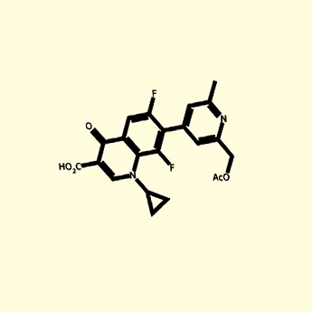 CC(=O)OCc1cc(-c2c(F)cc3c(=O)c(C(=O)O)cn(C4CC4)c3c2F)cc(C)n1